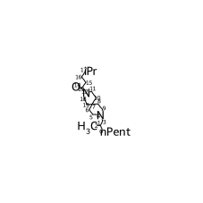 CCCCCC(C)CN1CCC2(CC1)CCN(C(=O)CCC(C)C)CC2